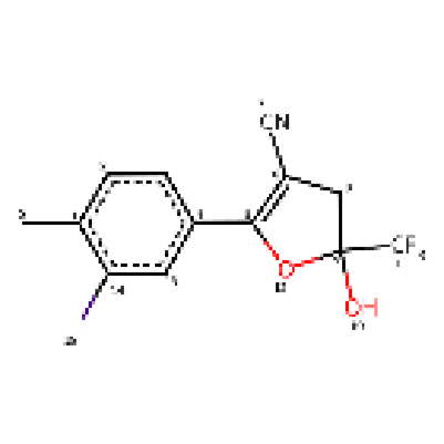 Cc1ccc(C2=C(C#N)CC(O)(C(F)(F)F)O2)cc1I